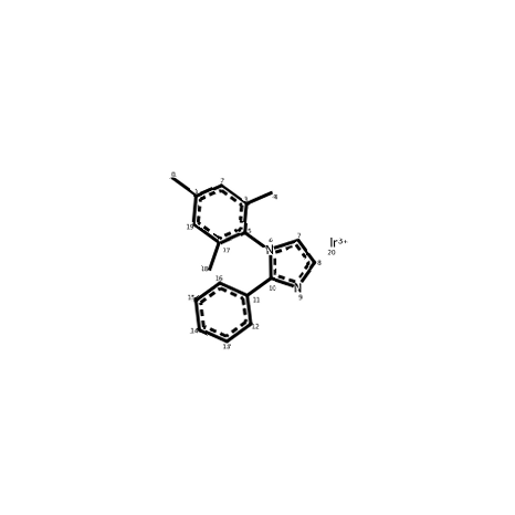 Cc1cc(C)c(-n2ccnc2-c2ccccc2)c(C)c1.[Ir+3]